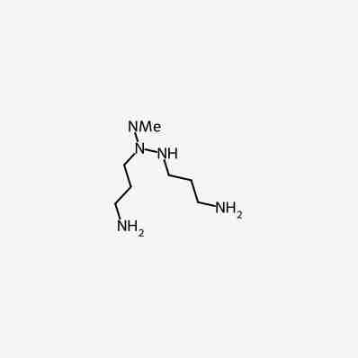 CNN(CCCN)NCCCN